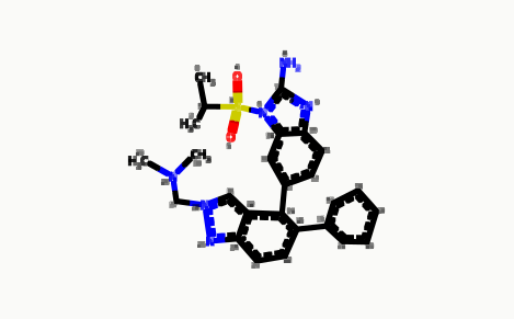 CC(C)S(=O)(=O)n1c(N)nc2ccc(-c3c(-c4ccccc4)ccc4nn(CN(C)C)cc34)cc21